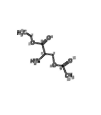 CCOC(=O)C(N)COC(C)=O